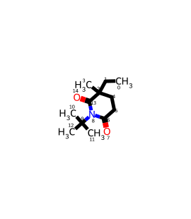 CCC1(C)CCC(=O)N(C(C)(C)C)C1=O